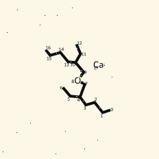 CCCCC(CC)COCC(CC)CCCC.[Ca]